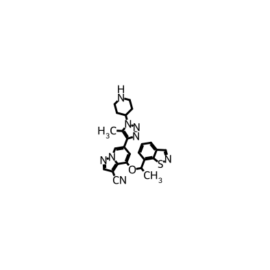 Cc1c(-c2cc(OC(C)c3cccc4cnsc34)c3c(C#N)cnn3c2)nnn1C1CCNCC1